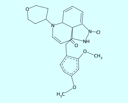 COc1ccc(CC2NN(Cl)C3=CC=CC4N(C5CCOCC5)C=CC(=O)C324)c(OC)c1